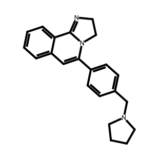 C1=C(c2ccc(CN3CCCC3)cc2)N2CCN=C2c2ccccc21